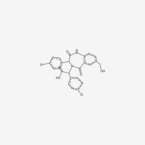 O=C(O)C(c1ccc(Cl)cc1)N1C(=O)c2cc(CO)ccc2NC(=O)C1c1ccc(Cl)cc1